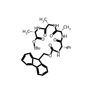 CC(C)[C@H](NC(=O)OCC1c2ccccc2-c2ccccc21)C(=O)N[C@@H](C)C(=O)N[C@@H](C)C(=O)N[C@@H](C)C(=O)OC(C)(C)C